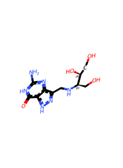 Nc1nc2c(CN[C@H](CO)[C@@H](O)CO)n[nH]c2c(=O)[nH]1